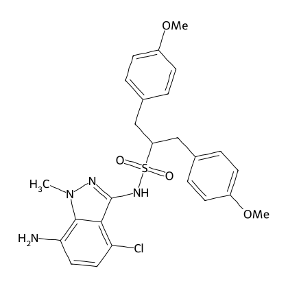 COc1ccc(CC(Cc2ccc(OC)cc2)S(=O)(=O)Nc2nn(C)c3c(N)ccc(Cl)c23)cc1